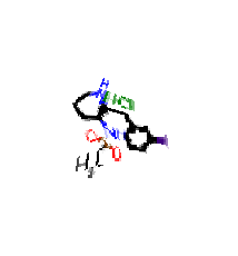 CS(=O)(=O)NC1CCCNC1Cc1cccc(I)c1.Cl